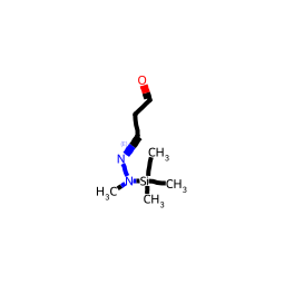 CN(/N=C/CC=O)[Si](C)(C)C